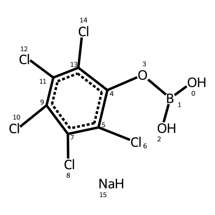 OB(O)Oc1c(Cl)c(Cl)c(Cl)c(Cl)c1Cl.[NaH]